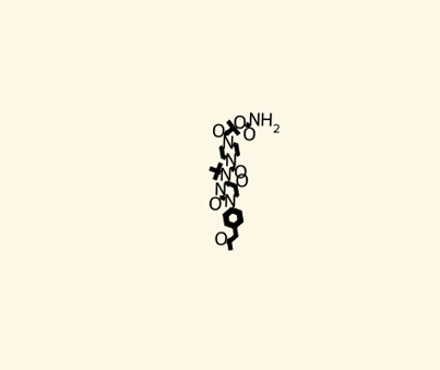 CC(=O)Cc1ccc(N2CC(=O)C(N(C(=O)N3CCN(C(=O)C(C)(C)OC(N)=O)CC3)C(C)(C)C)=NC2=O)cc1